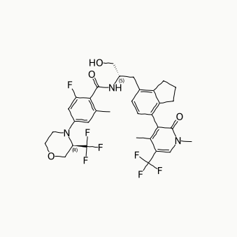 Cc1cc(N2CCOC[C@@H]2C(F)(F)F)cc(F)c1C(=O)N[C@H](CO)Cc1ccc(-c2c(C)c(C(F)(F)F)cn(C)c2=O)c2c1CCC2